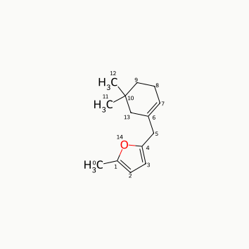 Cc1ccc(CC2=CCCC(C)(C)C2)o1